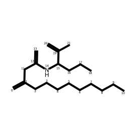 C=C(CCCCCCCCC)CC(=C)NC(CCC)C(=C)C